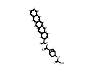 CCC(C)C(=O)OC1CC2CC1CC2C(=O)OC(C)c1ccc2cc3cc4cc5ccccc5cc4cc3cc2c1